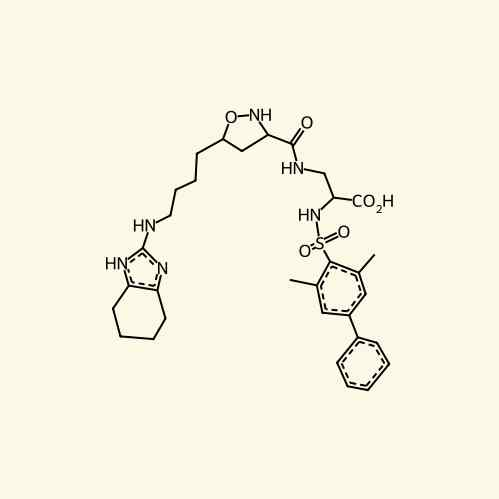 Cc1cc(-c2ccccc2)cc(C)c1S(=O)(=O)NC(CNC(=O)C1CC(CCCCNc2nc3c([nH]2)CCCC3)ON1)C(=O)O